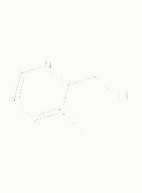 C[n+]1cccnc1CO